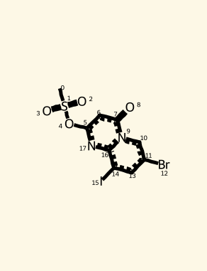 CS(=O)(=O)Oc1cc(=O)n2cc(Br)cc(I)c2n1